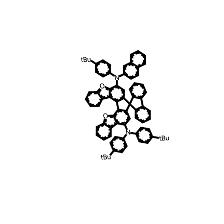 CC(C)(C)c1ccc(N(c2ccc3ccccc3c2)c2cc3c(c4c2oc2ccccc24)-c2c(cc(N(c4ccc(C(C)(C)C)cc4)c4ccc(C(C)(C)C)cc4)c4c2oc2ccccc24)C32c3ccccc3-c3ccccc32)cc1